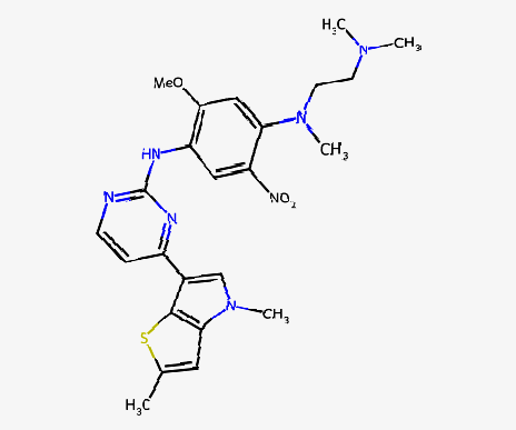 COc1cc(N(C)CCN(C)C)c([N+](=O)[O-])cc1Nc1nccc(-c2cn(C)c3cc(C)sc23)n1